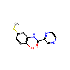 O=C(Nc1cc(SC(F)(F)F)ccc1O)c1cnccn1